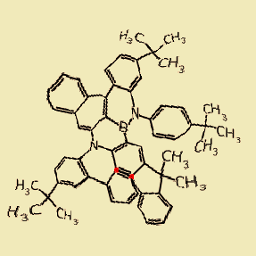 CC(C)(C)c1ccc(N2B3c4cc5c(cc4N(c4ccc(C(C)(C)C)cc4-c4ccccc4)c4cc6ccccc6c(c43)-c3ccc(C(C)(C)C)cc32)-c2ccccc2C5(C)C)cc1